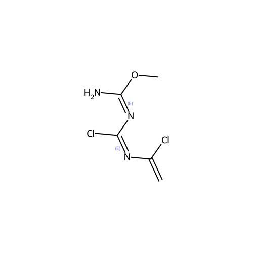 C=C(Cl)/N=C(Cl)\N=C(/N)OC